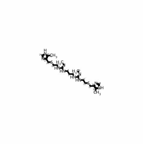 CN=C(NCCCNC(=NC)NCCSCc1nc[nH]c1C)NCCSCc1nc[nH]c1C